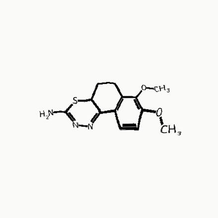 COc1ccc2c(c1OC)CCC1SC(N)=NN=C21